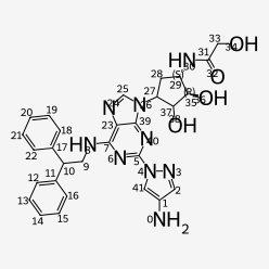 Nc1cnn(-c2nc(NCC(c3ccccc3)c3ccccc3)c3ncn(C4C[C@H](NC(=O)CO)[C@@H](O)C4O)c3n2)c1